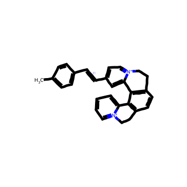 Cc1ccc(/C=C/c2cc[n+]3c(c2)-c2c(ccc4c2-c2cccc[n+]2CC4)CC3)cc1